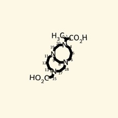 CC(C(=O)O)N1CCCN2CCN(CCCN(CC(=O)O)CC2)CC1